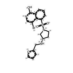 O=S(=O)(c1cccc2c(O)ncc(Br)c12)N1CC[C@@H](NCc2ccco2)C1